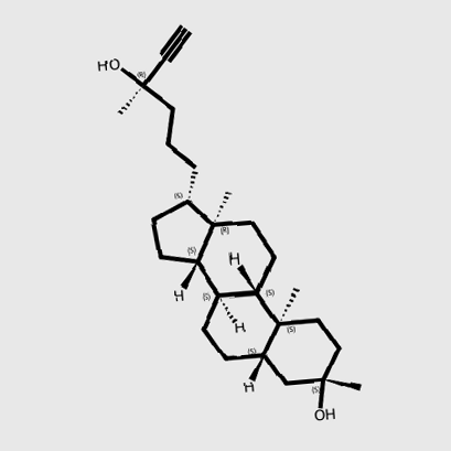 C#C[C@](C)(O)CCC[C@H]1CC[C@H]2[C@@H]3CC[C@H]4C[C@@](C)(O)CC[C@]4(C)[C@H]3CC[C@]12C